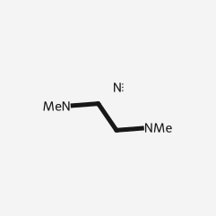 CNCCNC.[N]